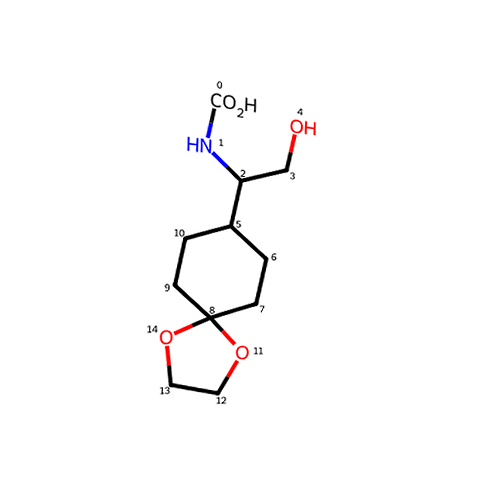 O=C(O)NC(CO)C1CCC2(CC1)OCCO2